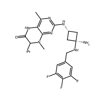 Cc1nc(N[C@H]2C[C@](N)(NCc3cc(F)c(F)c(F)c3)C2)nc2c1NC(=O)C(C(C)C)N2C